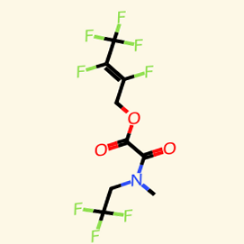 CN(CC(F)(F)F)C(=O)C(=O)OC/C(F)=C(\F)C(F)(F)F